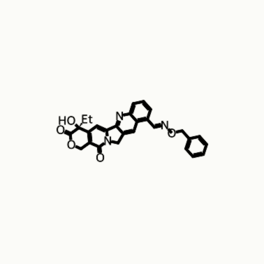 CC[C@@]1(O)C(=O)OCc2c1cc1n(c2=O)Cc2cc3c(C=NOCc4ccccc4)cccc3nc2-1